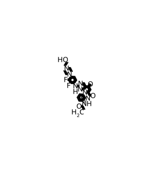 C=CC(=O)Nc1cccc(-n2c(C(N)=O)cc(=O)c3cnc(Nc4ccc(N5CCN(CCO)CC5)c(F)c4F)nc32)c1